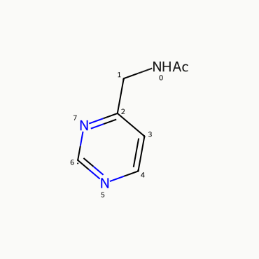 CC(=O)NCc1ccn[c]n1